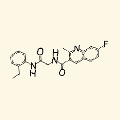 CCc1ccccc1NC(=O)CNC(=O)c1cc2ccc(F)cc2nc1C